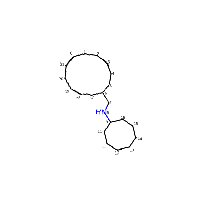 C1CCCCCC(CNC2CCCCCCC2)CCCCC1